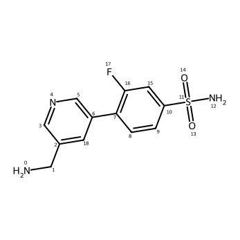 NCc1cncc(-c2ccc(S(N)(=O)=O)cc2F)c1